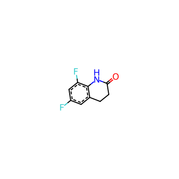 O=C1CCc2cc(F)cc(F)c2N1